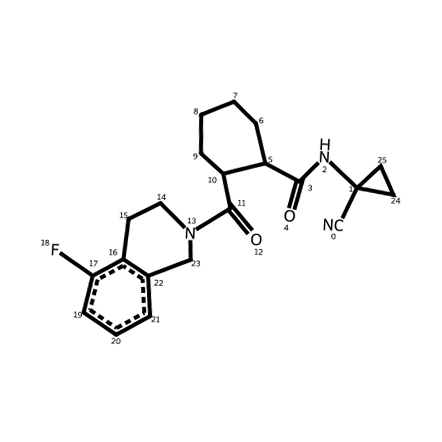 N#CC1(NC(=O)C2CCCCC2C(=O)N2CCc3c(F)cccc3C2)CC1